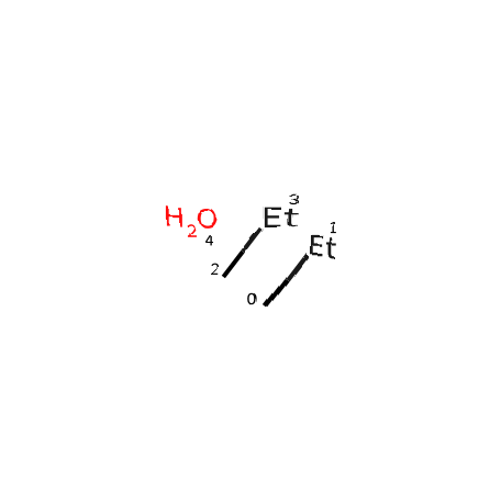 CCC.CCC.O